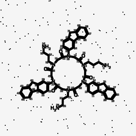 NCCCN1CC(=O)N(c2ccc3c(c2)Cc2ccccc2-3)CC(=O)N(CCCN)CC(=O)N(c2ccc3c(c2)Cc2ccccc2-3)CC(=O)N(CCCN)CC(=O)N(c2ccc3c(c2)-c2ccccc2C3)CC1=O